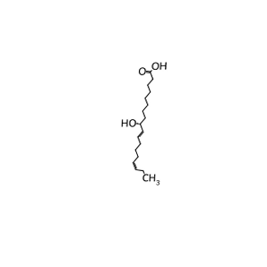 CC/C=C\CCC/C=C/[C@@H](O)CCCCCCCC(=O)O